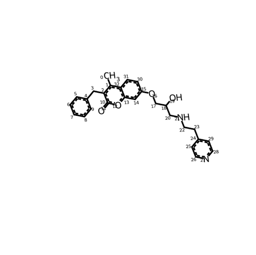 Cc1c(Cc2ccccc2)c(=O)oc2cc(OCC(O)CNCCc3ccncc3)ccc12